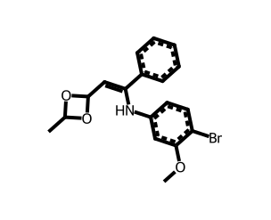 COc1cc(N/C(=C\C2OC(C)O2)c2ccccc2)ccc1Br